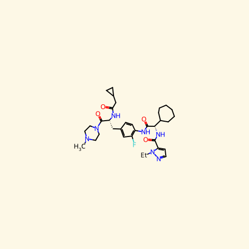 CCn1nccc1C(=O)N[C@H](C(=O)Nc1ccc(C[C@@H](NC(=O)CC2CC2)C(=O)N2CCN(C)CC2)cc1F)C1CCCCCC1